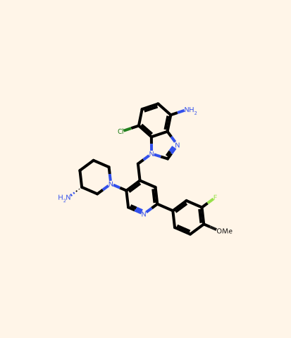 COc1ccc(-c2cc(Cn3cnc4c(N)ccc(Cl)c43)c(N3CCC[C@@H](N)C3)cn2)cc1F